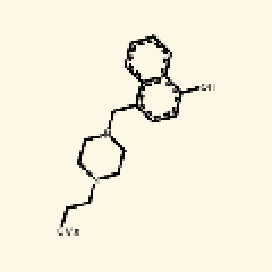 COCCN1CCN(Cc2ccc(O)c3ccccc23)CC1